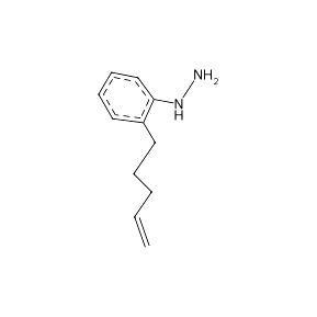 C=CCCCc1ccccc1NN